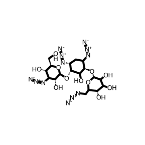 [N-]=[N+]=NCC1O[C@H](O[C@@H]2C(N=[N+]=[N-])C[C@@H](N=[N+]=[N-])[C@@H](OC3O[C@H](CO)[C@@H](O)C(N=[N+]=[N-])[C@H]3O)C2O)C(O)C(O)[C@@H]1O